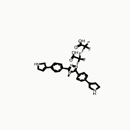 Cn1c(-c2ccc(C3=CCNC3)cc2)nnc1-c1ccc(C2=CCNC2)cc1.O=C(O)C(F)(F)F.O=C(O)C(F)(F)F